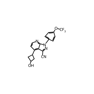 N#Cc1nn(-c2ccc(OC(F)(F)F)cc2)c2nccc(C3CC(O)C3)c12